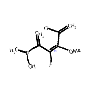 C=C(B(C)O)/C(F)=C(/OC)C(=C)Cl